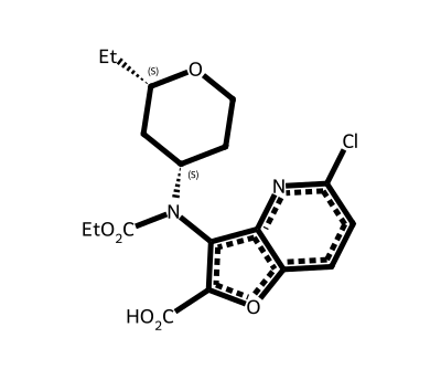 CCOC(=O)N(c1c(C(=O)O)oc2ccc(Cl)nc12)[C@H]1CCO[C@@H](CC)C1